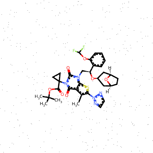 Cc1c(-n2nccn2)sc2c1c(=O)n(C1(C(=O)OC(C)(C)C)CC1)c(=O)n2C[C@H](O[C@H]1C[C@H]2CC[C@@H](C1)O2)c1ccccc1OC(F)F